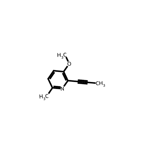 CC#Cc1nc(C)ccc1OC